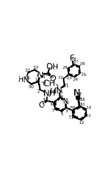 C[C@]1(CNC(=O)c2ccc(-c3ccccc3C#N)nc2NCCc2cccc(F)c2)CNCCN1C(=O)O